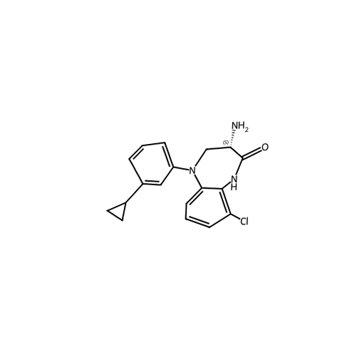 N[C@H]1CN(c2cccc(C3CC3)c2)c2cccc(Cl)c2NC1=O